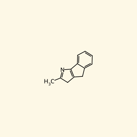 CC1=NC2=C(C1)Cc1ccccc12